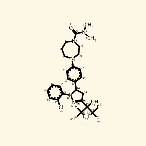 CN(C)C(=O)N1CCCN(c2ccc(C3CC(C(O)(C(F)(F)F)C(F)(F)F)=NN3c3ccccc3Cl)cc2)CC1